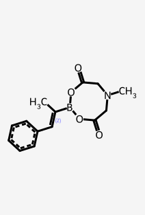 C/C(=C\c1ccccc1)B1OC(=O)CN(C)CC(=O)O1